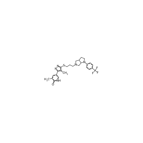 Cc1cc(-c2nnc(SCCCN3CC4CCN(c5ccc(C(F)(F)F)cc5)C4C3)n2C)c[nH]c1=O